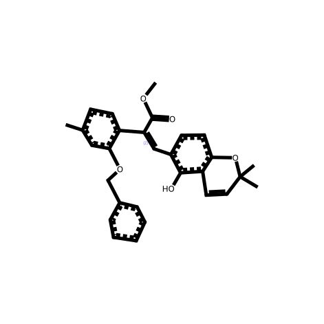 COC(=O)/C(=C\c1ccc2c(c1O)C=CC(C)(C)O2)c1ccc(C)cc1OCc1ccccc1